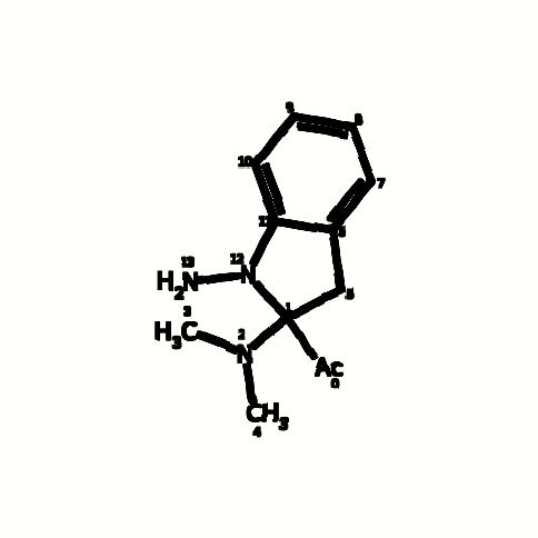 CC(=O)C1(N(C)C)Cc2ccccc2N1N